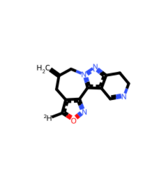 [2H]c1onc2c1CC(=C)Cn1nc3c(c1-2)C=NCC3